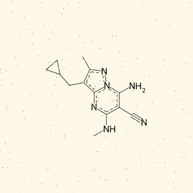 CNc1nc2c(CC3CC3)c(C)nn2c(N)c1C#N